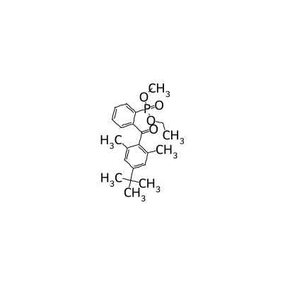 CCOP(=O)(OC)c1ccccc1C(=O)c1c(C)cc(C(C)(C)C)cc1C